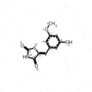 COc1cc(O)cc(/C=C2\SC(=O)NC2=O)c1